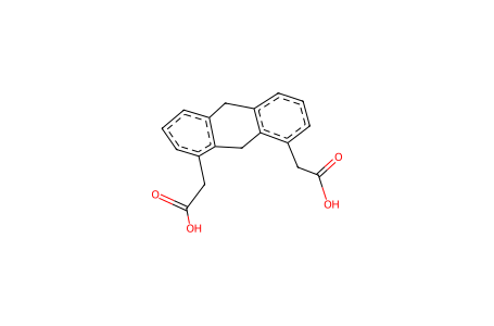 O=C(O)Cc1cccc2c1Cc1c(CC(=O)O)cccc1C2